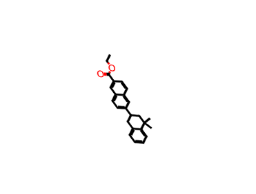 CCOC(=O)c1ccc2cc(C3Cc4ccccc4C(C)(C)C3)ccc2c1